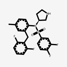 Cc1ccc(N([C@H]2CCNC2)S(=O)(=O)c2ccc(F)c(F)c2)c(Cc2c(F)cccc2F)c1